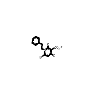 CCOC(=O)c1c(Cl)cc(CC)n(CCc2ccccc2)c1=O